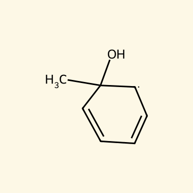 CC1(O)[CH]C=CC=C1